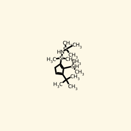 C[SiH](C)C1=C([Si](C)(C)N[Si](C)(C)C)CC=C1C(C)(C)C